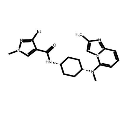 CCc1nn(C)cc1C(=O)N[C@H]1CC[C@@H](N(C)c2cccc3nc(C(F)(F)F)cn23)CC1